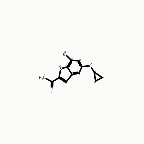 NC(=O)c1cc2cc(OC3CC3)cc(Br)c2s1